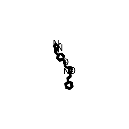 C(=Cc1nc(COc2ccc(Cn3cncn3)cc2)co1)c1ccccc1